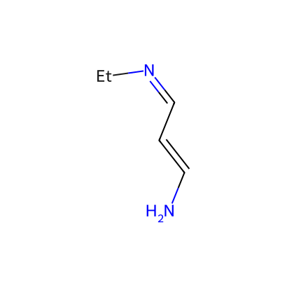 CC/N=C\C=C\N